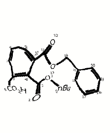 CCCCOC(=O)c1c(C(=O)O)cccc1C(=O)OCc1ccccc1